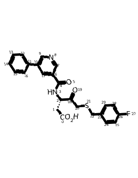 O=C(O)C[C@H](NC(=O)c1cncc(-c2ccccc2)c1)C(=O)CSCc1ccc(F)cc1